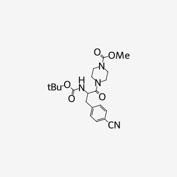 COC(=O)N1CCN(C(=O)C(Cc2ccc(C#N)cc2)NC(=O)OC(C)(C)C)CC1